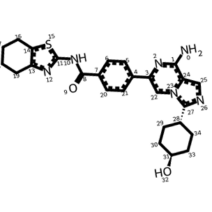 Nc1nc(-c2ccc(C(=O)Nc3nc4c(s3)CCCC4)cc2)cn2c1cnc2[C@H]1CC[C@H](O)CC1